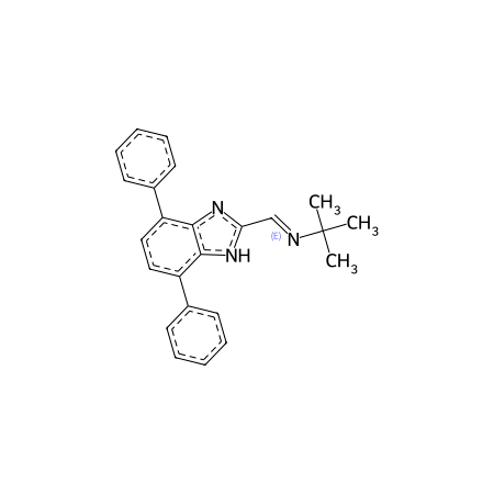 CC(C)(C)/N=C/c1nc2c(-c3ccccc3)ccc(-c3ccccc3)c2[nH]1